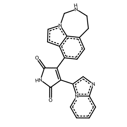 O=C1NC(=O)C(c2cnc3ccccn23)=C1c1ccc2c3c1ccn3CNCC2